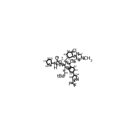 C=N/C=N\N(c1cc([C@@H](COC(=O)Nc2ccccn2)N(C(=N)NCCC(C)(C)C)C(=O)c2ccc(-c3cnn(C(F)F)c3)cc2)ccc1Cl)C(F)F